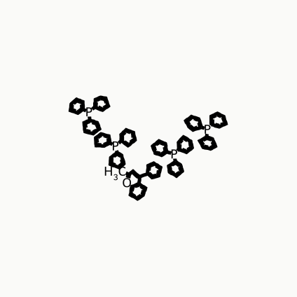 CC(=O)C=C(c1ccccc1)c1ccccc1.c1ccc(P(c2ccccc2)c2ccccc2)cc1.c1ccc(P(c2ccccc2)c2ccccc2)cc1.c1ccc(P(c2ccccc2)c2ccccc2)cc1.c1ccc(P(c2ccccc2)c2ccccc2)cc1